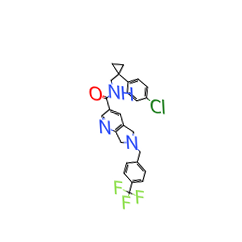 O=C(NCC1(c2ccc(Cl)cc2)CC1)c1cnc2c(c1)CN(Cc1ccc(C(F)(F)F)cc1)C2